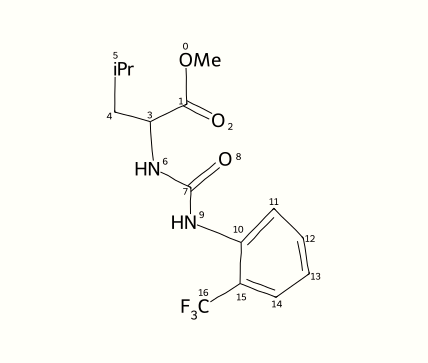 COC(=O)C(CC(C)C)NC(=O)Nc1ccccc1C(F)(F)F